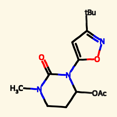 CC(=O)OC1CCN(C)C(=O)N1c1cc(C(C)(C)C)no1